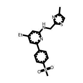 CCc1cc(NCc2nc(C)cs2)nc(-c2ccc(S(C)(=O)=O)cc2)c1